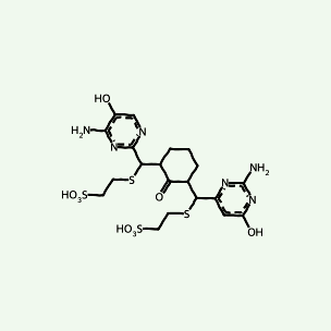 Nc1nc(O)cc(C(SCCS(=O)(=O)O)C2CCCC(C(SCCS(=O)(=O)O)c3ncc(O)c(N)n3)C2=O)n1